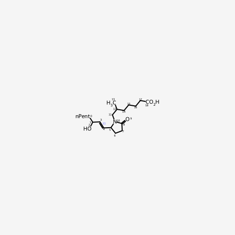 CCCCCC(O)/C=C/C1CCC(=O)N1CC(C)CCCCC(=O)O